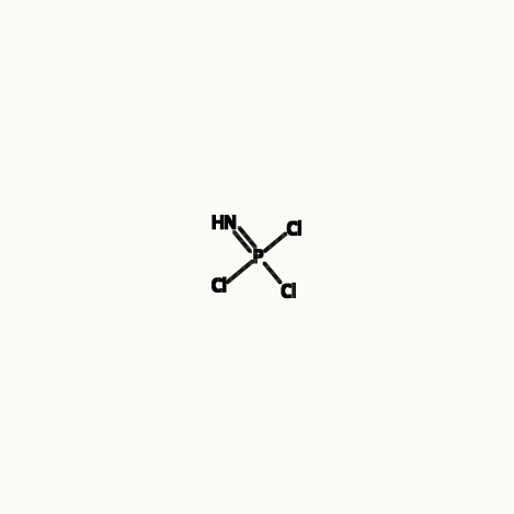 N=P(Cl)(Cl)Cl